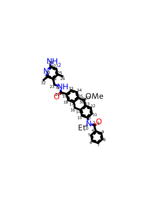 CCN(C(=O)c1ccccc1)c1ccc2c(c1)Cc1cc(C(=O)NCc3c(C)cc(N)nc3C)ccc1[C@H]2OC